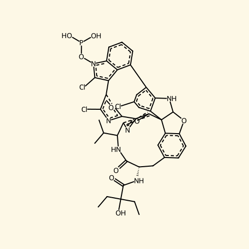 CCC(O)(CC)C(=O)N[C@H]1Cc2ccc3c(c2)C24c5cc(Cl)cc(c5NC2O3)-c2cccc3c2c(c(Cl)n3OP(O)O)-c2oc(nc2Cl)-c2nc(oc24)C(C(C)C)NC1=O